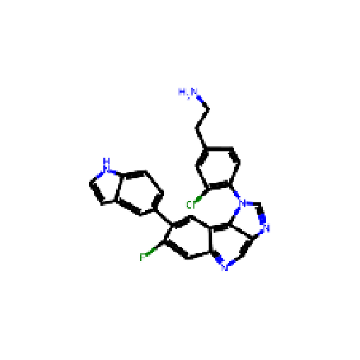 NCCc1ccc(-n2cnc3cnc4cc(F)c(-c5ccc6[nH]ccc6c5)cc4c32)c(Cl)c1